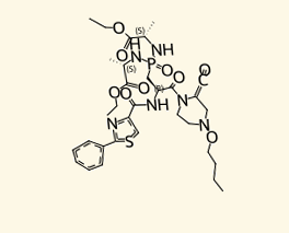 CCCCON1CCN(C(=O)[C@H](CP(=O)(N[C@@H](C)C(=O)OCC)N[C@@H](C)C(=O)OCC)NC(=O)c2csc(-c3ccccc3)n2)C(=C=O)C1